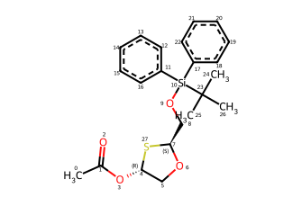 CC(=O)O[C@H]1CO[C@H](CO[Si](c2ccccc2)(c2ccccc2)C(C)(C)C)S1